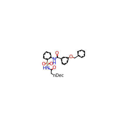 CCCCCCCCCCCC(=O)NS(=O)(=O)c1ccccc1NC(=O)c1cccc(OCc2ccccc2)c1